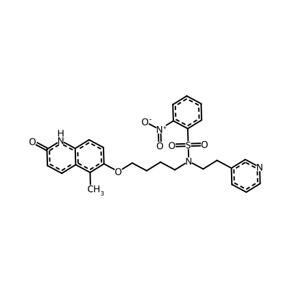 Cc1c(OCCCCN(CCc2cccnc2)S(=O)(=O)c2ccccc2[N+](=O)[O-])ccc2[nH]c(=O)ccc12